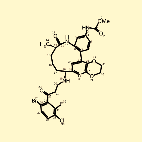 COC(=O)Nc1ccc2c(c1)NC(=O)[C@H](C)CCC[C@H](NCCC(=O)c1c(Br)ccc(Cl)c1F)c1cc-2c2c(n1)OCCO2